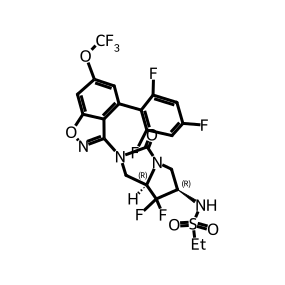 CCS(=O)(=O)N[C@@H]1CN2C(=O)N(c3noc4cc(OC(F)(F)F)cc(-c5c(F)cc(F)cc5F)c34)C[C@@H]2C1(F)F